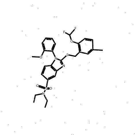 CCN(CC)S(=O)(=O)c1ccc2c(c1)nc(SCc1cc(C)ccc1OC(F)F)n2-c1ccccc1OC